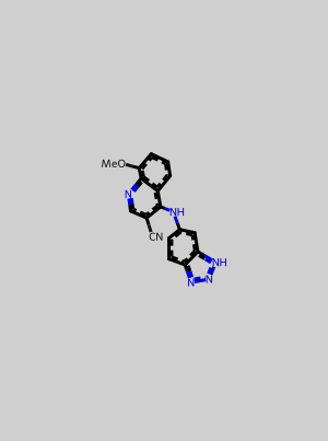 COc1cccc2c(Nc3ccc4nn[nH]c4c3)c(C#N)cnc12